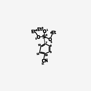 CCO[Si](OCC)(OCC)c1ccc(C#N)cc1